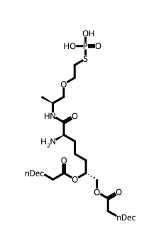 CCCCCCCCCCCC(=O)OC[C@@H](CCC[C@@H](N)C(=O)N[C@@H](C)COCCSP(=O)(O)O)OC(=O)CCCCCCCCCCC